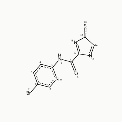 O=C(Nc1ccc(Br)cn1)C1=NC(=S)C=N1